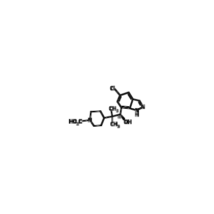 CC(C)(C1CCN(C(=O)O)CC1)[C@H](O)c1cc(Cl)cc2cn[nH]c12